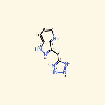 c1cnc2c(Cc3nn[nH]n3)n[nH]c2c1